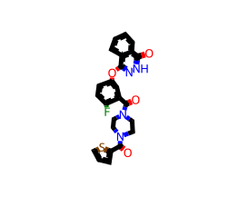 O=C(c1cccs1)N1CCN(C(=O)c2cc(Oc3n[nH]c(=O)c4ccccc34)ccc2F)CC1